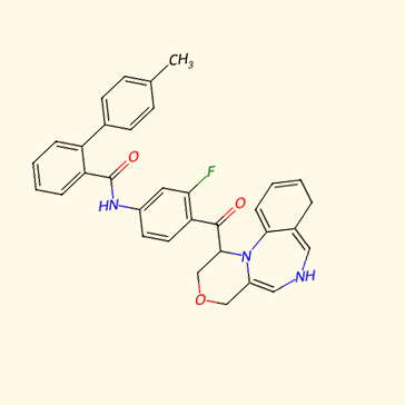 Cc1ccc(-c2ccccc2C(=O)Nc2ccc(C(=O)C3COCC4=CNC=C5CC=CC=C5N43)c(F)c2)cc1